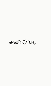 [CH2]CCCCCOCc1ccc(C=C)cc1